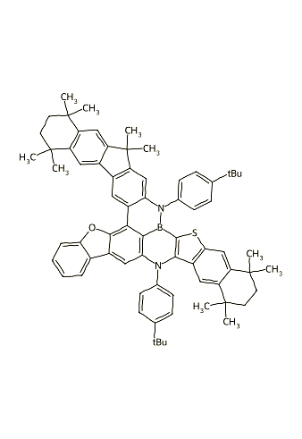 CC(C)(C)c1ccc(N2B3c4sc5cc6c(cc5c4N(c4ccc(C(C)(C)C)cc4)c4cc5c(oc7ccccc75)c(c43)-c3cc4c(cc32)C(C)(C)c2cc3c(cc2-4)C(C)(C)CCC3(C)C)C(C)(C)CCC6(C)C)cc1